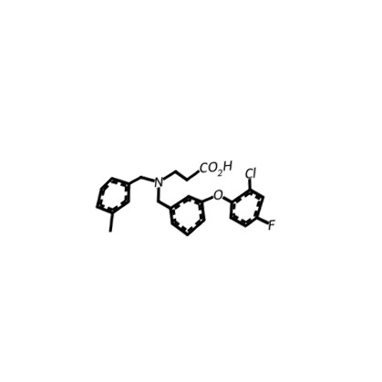 Cc1cccc(CN(CCC(=O)O)Cc2cccc(Oc3ccc(F)cc3Cl)c2)c1